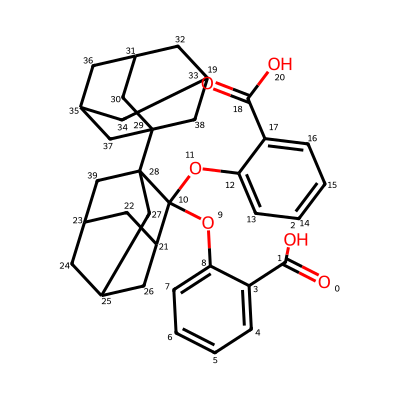 O=C(O)c1ccccc1OC1(Oc2ccccc2C(=O)O)C2CC3CC(C2)CC1(C12CC4CC(CC(C4)C1)C2)C3